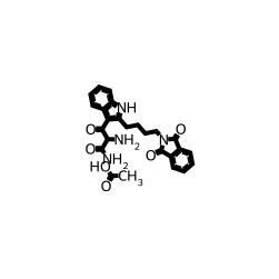 CC(=O)O.NC(=O)C(N)C(=O)c1c(CCCCN2C(=O)c3ccccc3C2=O)[nH]c2ccccc12